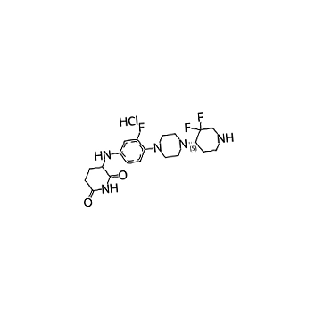 Cl.O=C1CCC(Nc2ccc(N3CCN([C@H]4CCNCC4(F)F)CC3)c(F)c2)C(=O)N1